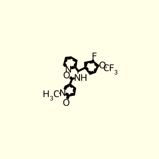 Cn1cc(C(=O)N[C@@H](c2ccc(OC(F)(F)F)c(F)c2)c2ccccn2)ccc1=O